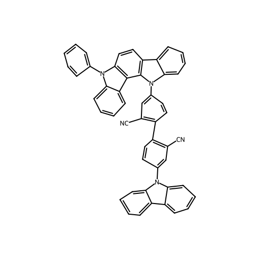 N#Cc1cc(-n2c3ccccc3c3ccccc32)ccc1-c1ccc(-n2c3ccccc3c3ccc4c(c5ccccc5n4-c4ccccc4)c32)cc1C#N